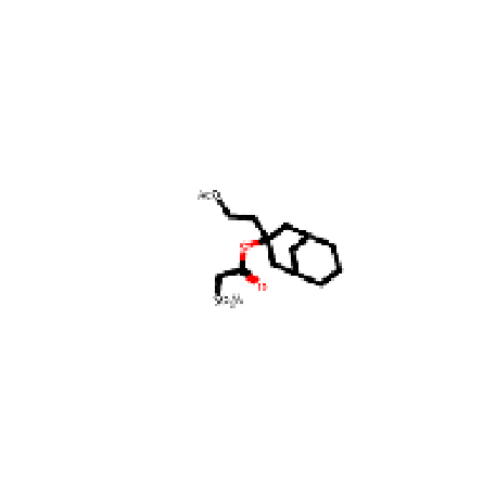 CC(=O)OCCC1(OC(=O)CS(=O)(=O)O)CC2CCCC(C2)C1